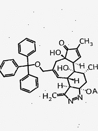 C=C1N=N[C@]2(OC(C)=O)C[C@@H](C)[C@@]3(O)[C@@H](C=C(COC(c4ccccc4)(c4ccccc4)c4ccccc4)C[C@]4(O)C(=O)C(C)=C[C@@H]34)[C@H]12